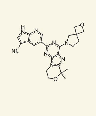 CC1(C)OCCn2c1nc1c(N3CCC4(COC4)C3)nc(-c3cnc4[nH]cc(C#N)c4c3)nc12